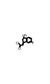 CCCC1CC(=CC(=O)Cl)c2cc(F)ccc21